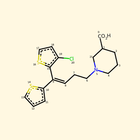 O=C(O)C1CCCN(CCC=C(c2cccs2)c2sccc2Cl)C1